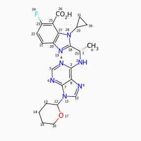 C[C@H](Nc1ncnc2c1ncn2C1CCCCO1)c1nc2ccc(F)c(C(=O)O)c2n1C1CC1